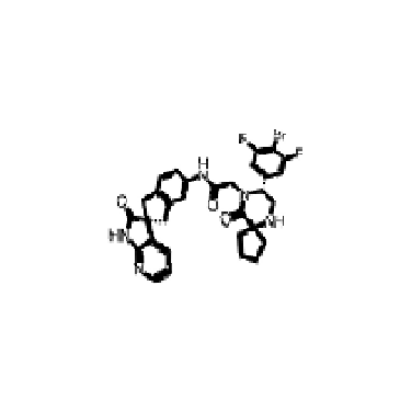 O=C(CN1C(=O)C2(CCCC2)NC[C@H]1c1cc(F)c(Br)c(F)c1)Nc1ccc2c(c1)C[C@@]1(C2)C(=O)Nc2ncccc21